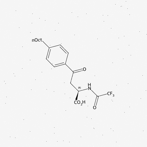 CCCCCCCCc1ccc(C(=O)C[C@@H](NC(=O)C(F)(F)F)C(=O)O)cc1